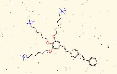 C[N+](C)(C)CCCCCCOc1cc(/C=C/c2ccc(/C=C/c3ccccc3)cc2)cc(OCCCCCC[N+](C)(C)C)c1OCCCCCC[N+](C)(C)C